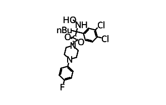 CCCCC(NO)(c1ccc(Cl)c(Cl)c1)S(=O)(=O)N1CCN(c2ccc(F)cc2)CC1